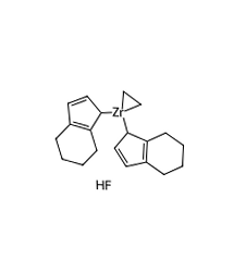 C1=C[CH]([Zr]2([CH]3C=CC4=C3CCCC4)[CH2][CH2]2)C2=C1CCCC2.F